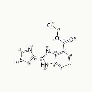 O=C(OCCl)c1cccc2[nH]c(-c3cscn3)nc12